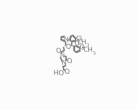 COc1cccc([C@H]2O[C@H](CCC(=O)N3CCN(CCC(=O)O)C(=O)C3)c3cccn3-c3ccc(Cl)cc32)c1OC